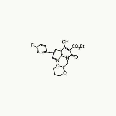 CCOC(=O)c1c(O)c2cc(-c3ccc(F)cc3)cnc2n(CC2OCCCO2)c1=O